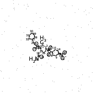 C[C@@H]1CN(S(=O)(=O)c2ccc([N+](=O)[O-])cc2)C[C@H](CC(N)=O)N1C(=O)OCc1ccccc1